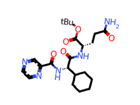 CC(C)(C)OC(=O)[C@H](CCC(N)=O)NC(=O)[C@@H](NC(=O)c1cnccn1)C1CCCCC1